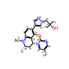 CC(=O)N1c2ccc(-c3cnn(CC(C)(C)O)c3)c(Oc3ncc(F)cn3)c2CC[C@@H]1C